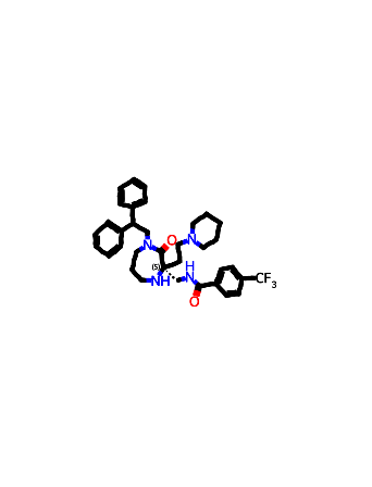 O=C(NC[C@]1(CCN2CCCCC2)NCCCN(CC(c2ccccc2)c2ccccc2)C1=O)c1ccc(C(F)(F)F)cc1